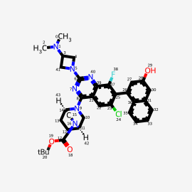 CN(C)C1CN(c2nc(N3C[C@H]4CC[C@@H]3CN4C(=O)OC(C)(C)C)c3cc(Cl)c(-c4cc(O)cc5ccccc45)c(F)c3n2)C1